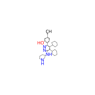 C#Cc1ccc(-c2nnc(NC3CCCNC3)c(C3CCCCC3)c2C2CCCCC2)c(O)c1